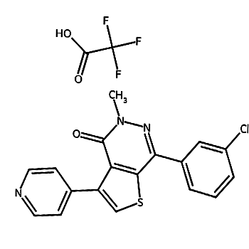 Cn1nc(-c2cccc(Cl)c2)c2scc(-c3ccncc3)c2c1=O.O=C(O)C(F)(F)F